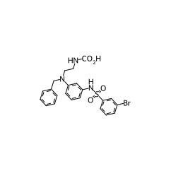 O=C(O)NCCN(Cc1ccccc1)c1cccc(NS(=O)(=O)c2cccc(Br)c2)c1